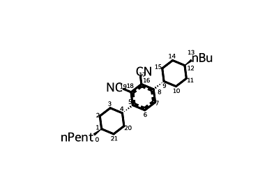 CCCCC[C@H]1CC[C@H](c2ccc([C@H]3CC[C@H](CCCC)CC3)c(C#N)c2C#N)CC1